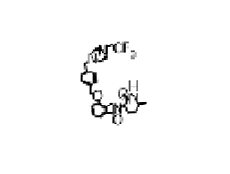 C=C1CCC(N2Cc3c(OCc4ccc(CN5CCN(CC(F)(F)F)CC5)cc4)cccc3C2=O)C(=O)N1